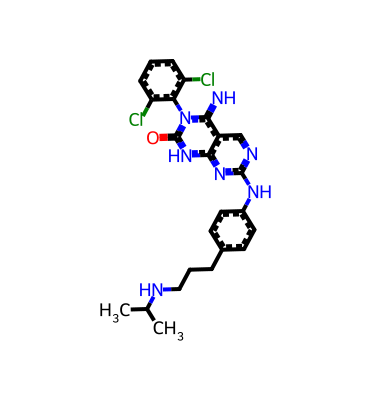 CC(C)NCCCc1ccc(Nc2ncc3c(=N)n(-c4c(Cl)cccc4Cl)c(=O)[nH]c3n2)cc1